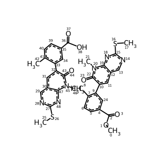 COC(=O)c1ccc(C)c(-c2cc3cnc(SC)nc3n(C)c2=O)c1.CSc1ncc2cc(-c3cc(C(=O)O)ccc3C)c(=O)n(C)c2n1